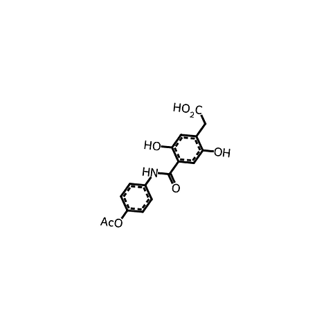 CC(=O)Oc1ccc(NC(=O)c2cc(O)c(CC(=O)O)cc2O)cc1